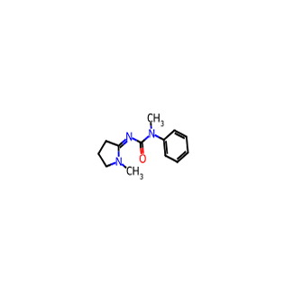 CN1CCC/C1=N/C(=O)N(C)c1ccccc1